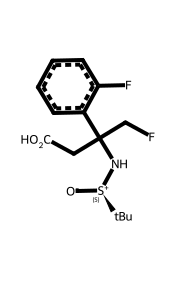 CC(C)(C)[S@@+]([O-])NC(CF)(CC(=O)O)c1ccccc1F